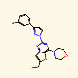 Cc1cccc(-c2ccn(-c3nc(N4CCOCC4)c4sc(CCl)cc4n3)n2)c1